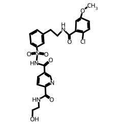 COc1ccc(Cl)c(C(=O)NCCc2cccc(S(=O)(=O)NC(=O)c3ccc(C(=O)NCCO)nc3)c2)c1